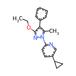 CCOc1nn(-c2ccc(C3CC3)cn2)c(C)c1-c1ccccc1